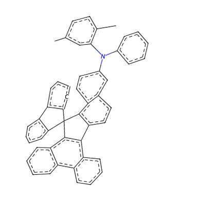 Cc1ccc(C)c(N(c2ccccc2)c2ccc3c4c(ccc3c2)-c2c(c3ccccc3c3ccccc23)C42c3ccccc3-c3ccccc32)c1